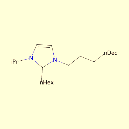 CCCCCCCCCCCCCN1C=CN(C(C)C)C1CCCCCC